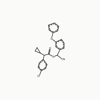 N#CC(OC(=O)C(c1ccc(Cl)cc1)C1CC1)c1cccc(Oc2ccccc2)c1